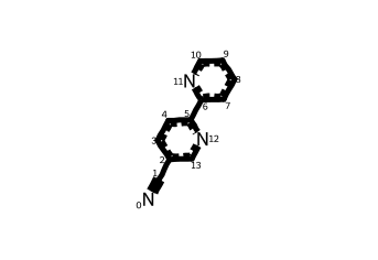 N#Cc1ccc(-c2ccccn2)nc1